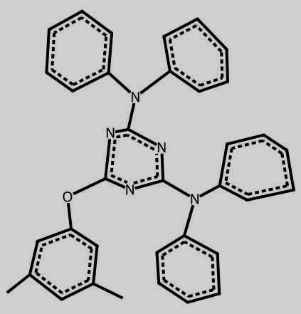 Cc1cc(C)cc(Oc2nc(N(c3ccccc3)c3ccccc3)nc(N(c3ccccc3)c3ccccc3)n2)c1